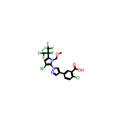 COCn1c(C(F)(C(F)(F)F)C(F)(F)F)cc(Br)c1-n1cc(-c2ccc(Cl)c(C(=O)O)c2)cn1